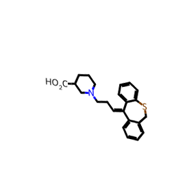 O=C(O)C1CCCN(CCC=C2c3ccccc3CSc3ccccc32)C1